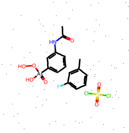 CC(=O)Nc1cccc([As](=O)(O)OO)c1.Cc1cccc(F)c1.O=S(=O)(Cl)Cl